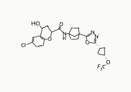 O=C(NC12CCC(c3nnc([C@H]4C[C@@H](OC(F)(F)F)C4)o3)(CC1)C2)C1CC(O)c2cc(Cl)ccc2O1